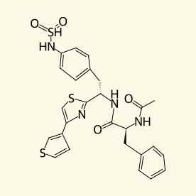 CC(=O)N[C@@H](Cc1ccccc1)C(=O)N[C@@H](Cc1ccc(N[SH](=O)=O)cc1)c1nc(-c2ccsc2)cs1